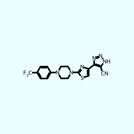 N#Cc1[nH]nnc1-c1csc(N2CCN(c3ccc(C(F)(F)F)cc3)CC2)n1